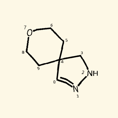 C1=NNCC12CCOCC2